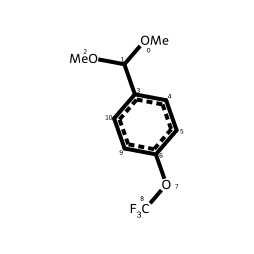 COC(OC)c1ccc(OC(F)(F)F)cc1